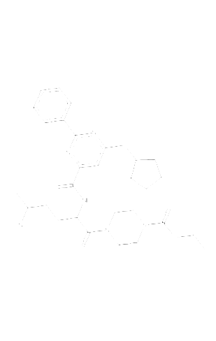 CCOC(=O)N1CCN(C(=O)C(CCC(C)N)NC(=O)c2cc(OC3CCCC3)nc(-c3ccccc3)n2)CC1